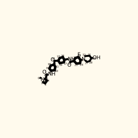 Cn1cccc1C(=O)Nc1ccc(C(=O)c2ccc(NC(=O)c3ccc(N4CCC(O)CC4)c(F)c3)cc2)cc1